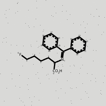 O=C(O)C(CCCCF)N=C(c1ccccc1)c1ccccc1